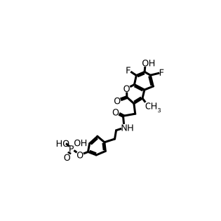 Cc1c(CC(=O)NCCc2ccc(OP(=O)(O)O)cc2)c(=O)oc2c(F)c(O)c(F)cc12